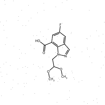 COC(Cn1ncc2cc(F)cc(C(=O)O)c21)OC